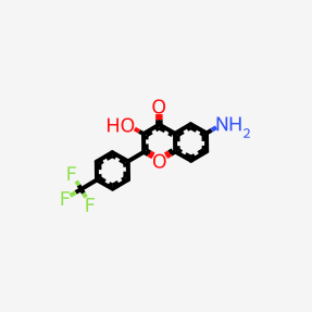 Nc1ccc2oc(-c3ccc(C(F)(F)F)cc3)c(O)c(=O)c2c1